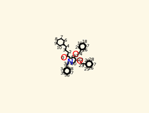 O=C(CCCC1CCCCC1)C1C(OCc2ccccc2)C(OCc2ccccc2)CN1Cc1ccccc1